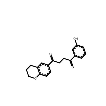 O=C(CCC(=O)c1ccc2c(c1)CCCO2)c1cccc(O)c1